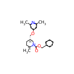 Cc1cc(OC[C@H]2CC[C@@H](C)N(C(=O)OCc3ccccc3)C2)cc(C)n1